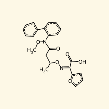 CON(C(=O)CC(C)O/N=C(\C(=O)O)c1ccco1)c1ccccc1-c1ccccc1